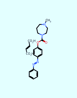 CN1CCCN(C(=O)Oc2ccc(N=Nc3ccccc3)cc2)CC1.O=C(O)/C=C/C(=O)O